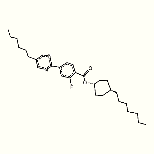 CCCCCCC[C@H]1CC[C@H](OC(=O)c2ccc(-c3ncc(CCCCCC)cn3)cc2F)CC1